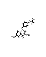 COc1ccc(OCc2ccc(OC(F)(F)F)cc2)c(C(C)C(=O)O)c1